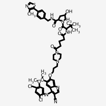 COc1cc(Nc2c(C#N)cnc3cc(OCCCN4CCN(C(=O)CCCC(=O)NC(C(=O)N5CC(O)CC5C(=O)NCc5ccc(-c6scnc6C)cc5)C(C)(C)C)CC4)c(OC)cc23)c(Cl)cc1Cl